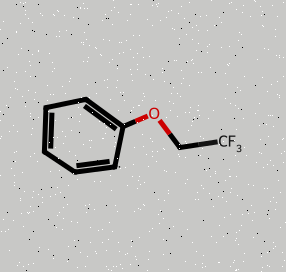 FC(F)(F)COc1[c]cccc1